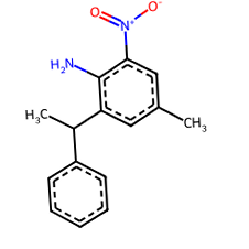 Cc1cc(C(C)c2ccccc2)c(N)c([N+](=O)[O-])c1